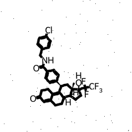 C[C@]12C[C@H](c3ccc(C(=O)NCc4ccc(Cl)cc4)cc3)C3=C4CCC(=O)C=C4CC[C@H]3[C@@H]1CC[C@@]2(O)C(F)(F)C(F)(F)F